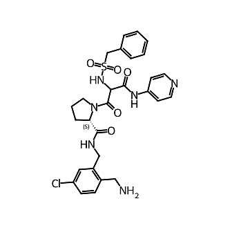 NCc1ccc(Cl)cc1CNC(=O)[C@@H]1CCCN1C(=O)C(NS(=O)(=O)Cc1ccccc1)C(=O)Nc1ccncc1